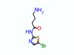 NCCCC(=O)Nc1ncc(Br)s1